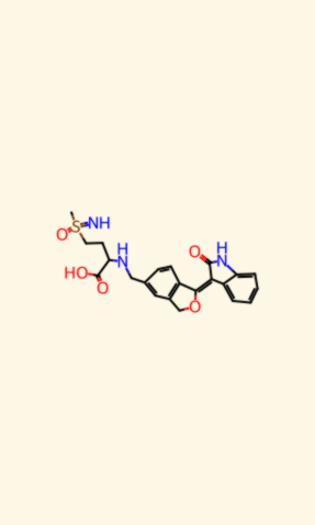 CS(=N)(=O)CCC(NCc1ccc2c(c1)CO/C2=C1/C(=O)Nc2ccccc21)C(=O)O